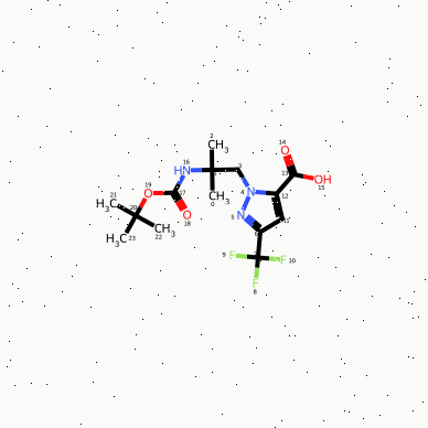 CC(C)(Cn1nc(C(F)(F)F)cc1C(=O)O)NC(=O)OC(C)(C)C